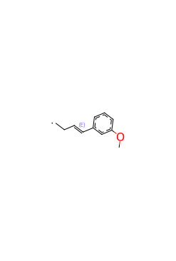 [CH2]C/C=C/c1cccc(OC)c1